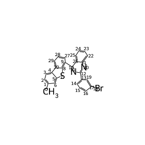 Cc1ccc2c(c1)sc1c(-c3nc(-c4cccc(Br)c4)nc4ccccc34)cccc12